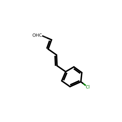 O=CC=CC=Cc1ccc(Cl)cc1